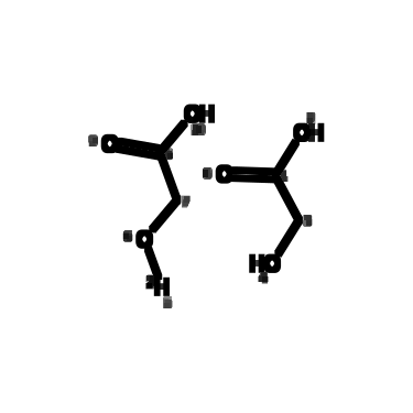 O=C(O)CO.[2H]OCC(=O)O